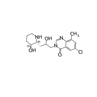 Cc1cc(Cl)cc2c(=O)n(CC(O)C[C@H]3NCCC[C@@H]3O)cnc12